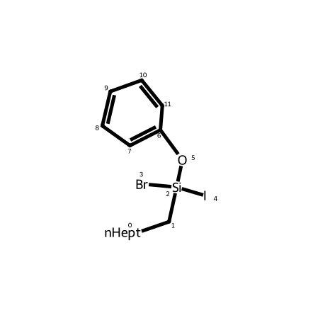 CCCCCCCC[Si](Br)(I)Oc1ccccc1